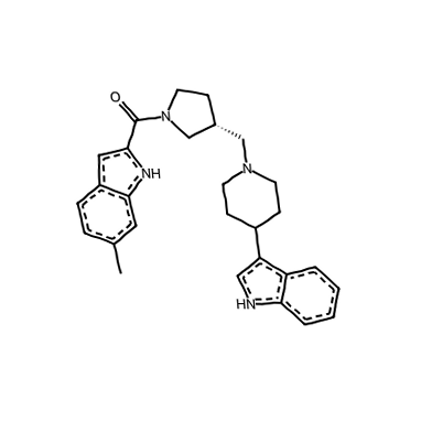 Cc1ccc2cc(C(=O)N3CC[C@H](CN4CCC(c5c[nH]c6ccccc56)CC4)C3)[nH]c2c1